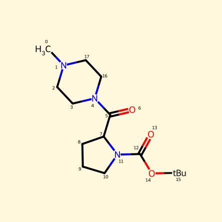 CN1CCN(C(=O)C2CCCN2C(=O)OC(C)(C)C)CC1